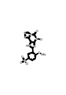 CCCCOc1ccc(S(=O)(=O)Cl)cc1-c1nc2c([nH]1)c1nncn1c(=O)n2CC